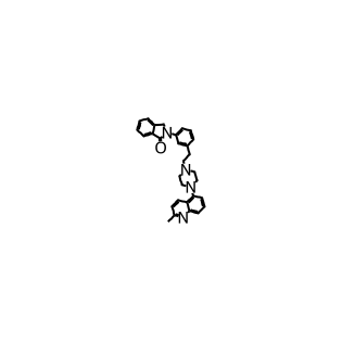 Cc1ccc2c(N3CCN(CCc4cccc(N5Cc6ccccc6C5=O)c4)CC3)cccc2n1